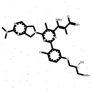 CNC[C@@H](O)COc1ccc(Cl)c(-c2nc(/C(NC)=C(\C)C(=N)Cl)c(C)c(N3Cc4cnc(N(C)C)nc4C3)n2)c1